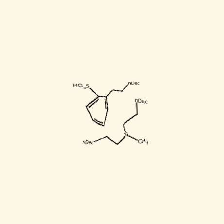 CCCCCCCCCCCCN(C)CCCCCCCCCCCC.CCCCCCCCCCCCc1ccccc1S(=O)(=O)O